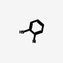 Sc1cccc[c]1[Ni]